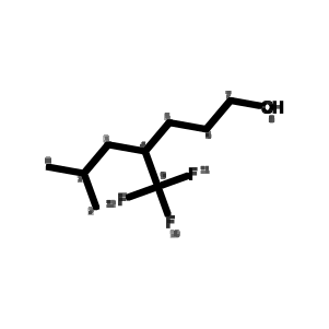 CC(C)CC(CCCO)C(F)(F)F